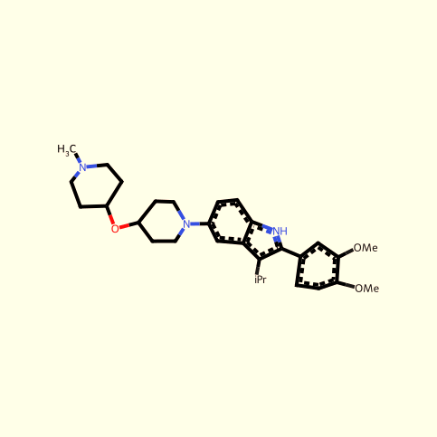 COc1ccc(-c2[nH]c3ccc(N4CCC(OC5CCN(C)CC5)CC4)cc3c2C(C)C)cc1OC